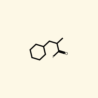 CC(CC1CCCCC1)C(=O)I